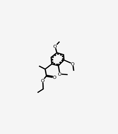 CCOC(=O)C(C)c1cc(OC)cc(OC)c1OC